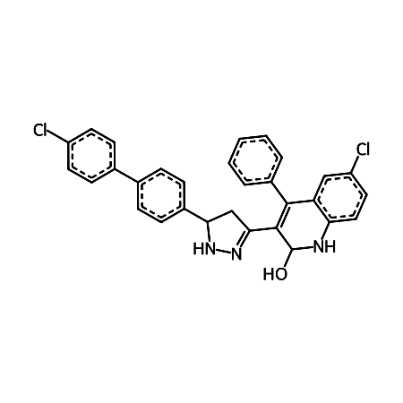 OC1Nc2ccc(Cl)cc2C(c2ccccc2)=C1C1=NNC(c2ccc(-c3ccc(Cl)cc3)cc2)C1